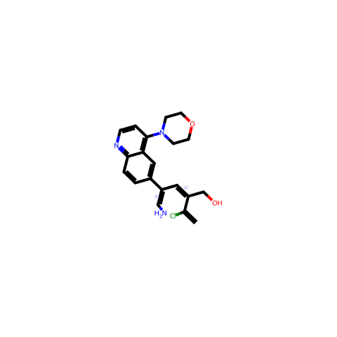 C=C(Cl)/C(=C\C(=C/N)c1ccc2nccc(N3CCOCC3)c2c1)CO